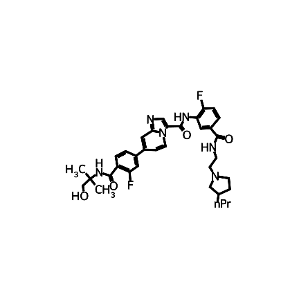 CCCC1CCN(CCNC(=O)c2ccc(F)c(NC(=O)c3cnc4cc(-c5ccc(C(=O)NC(C)(C)CO)c(F)c5)ccn34)c2)C1